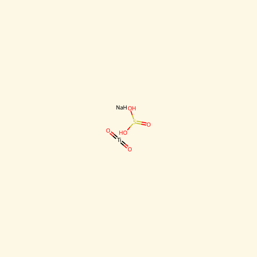 O=S(O)O.[NaH].[O]=[Ti]=[O]